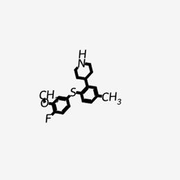 COc1cc(Sc2ccc(C)cc2C2CCNCC2)ccc1F